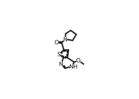 COC1NC=Nc2sc(C(=O)N3CCCC3)cc21